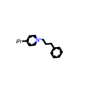 CC(C)c1cc[n+](CCCc2ccccc2)cc1